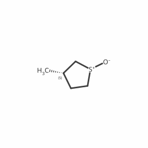 C[C@H]1CC[S+]([O-])C1